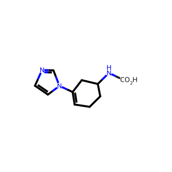 O=C(O)NC1CCC=C(n2ccnc2)C1